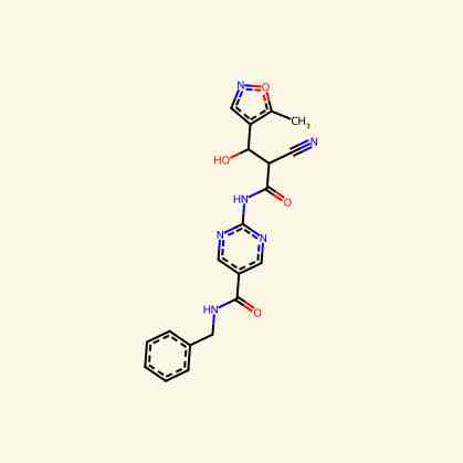 Cc1oncc1C(O)C(C#N)C(=O)Nc1ncc(C(=O)NCc2ccccc2)cn1